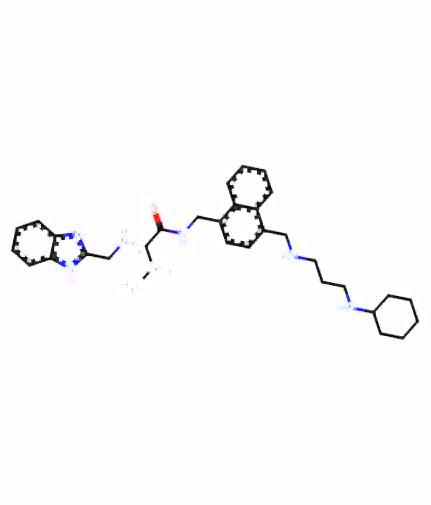 C[SiH2][C@H](NCc1nc2ccccc2[nH]1)C(=O)NCc1ccc(CNCCCNC2CCCCC2)c2ccccc12